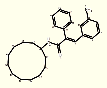 Nc1cccc(/C=C(/C(=O)NC2CCCCCCCCCCC2)c2ccccc2)c1